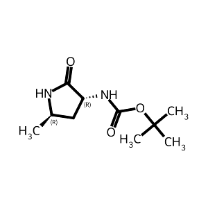 C[C@@H]1C[C@@H](NC(=O)OC(C)(C)C)C(=O)N1